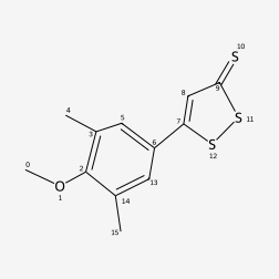 COc1c(C)cc(-c2cc(=S)ss2)cc1C